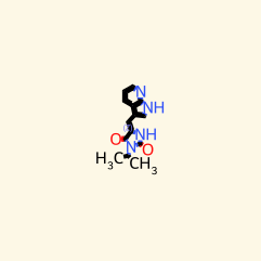 CC(C)N1C(=O)N/C(=C\c2c[nH]c3ncccc23)C1=O